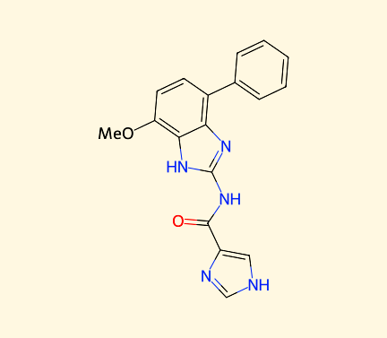 COc1ccc(-c2ccccc2)c2nc(NC(=O)c3c[nH]cn3)[nH]c12